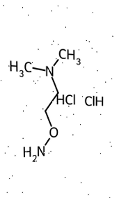 CN(C)CCON.Cl.Cl